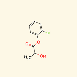 CC(O)C(=O)Oc1ccccc1F